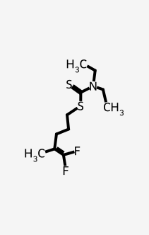 CCN(CC)C(=S)SCCCC(C)=C(F)F